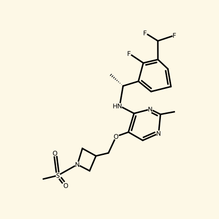 Cc1ncc(OCC2CN(S(C)(=O)=O)C2)c(N[C@H](C)c2cccc(C(F)F)c2F)n1